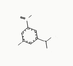 C[C](C)c1cc(F)cc([N+](=O)[O-])c1